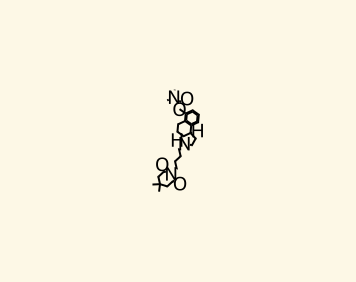 CN(C)C(=O)Oc1cccc2c1CC[C@@H]1[C@H]2CCN1CCCCN1C(=O)CC(C)(C)CC1=O